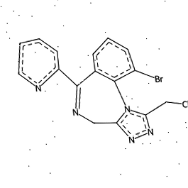 ClCc1nnc2n1-c1c(Br)cccc1C(c1ccccn1)=NC2